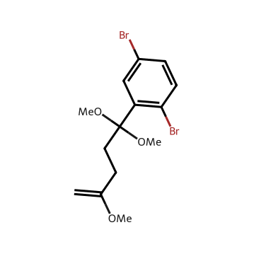 C=C(CCC(OC)(OC)c1cc(Br)ccc1Br)OC